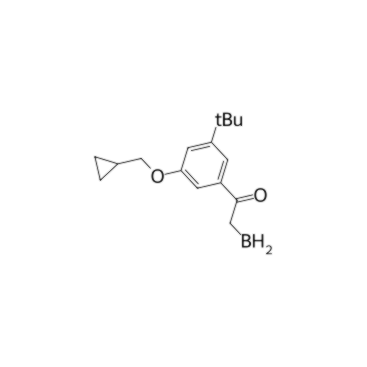 BCC(=O)c1cc(OCC2CC2)cc(C(C)(C)C)c1